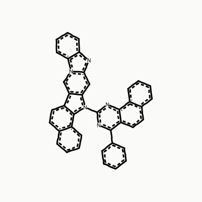 c1ccc(-c2nc(-n3c4cc5nc6ccccc6n5cc4c4ccc5ccccc5c43)nc3c2ccc2ccccc23)cc1